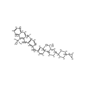 CP(C)(=O)c1c(Nc2nc(Nc3ccc4c(c3)OC[C@H]3CN(C5CCN(C6CC6)CC5)CCN43)ncc2Br)ccc2nccnc12